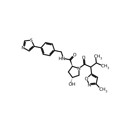 Cc1cc(C(C(=O)N2C[C@H](O)C[C@H]2C(=O)NCc2ccc(-c3cncs3)cc2)C(C)C)on1